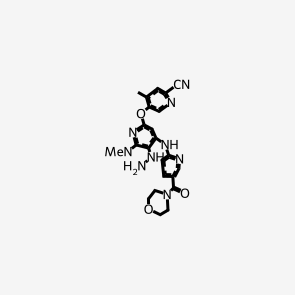 CNc1nc(Oc2cnc(C#N)cc2C)cc(Nc2ccc(C(=O)N3CCOCC3)cn2)c1NN